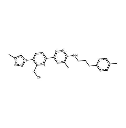 Cc1ccc(CCCNc2nnc(-c3ccc(-n4cnc(C)c4)c(CO)n3)cc2C)cc1